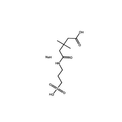 CC(C)(CC(=O)O)CC(=O)NCCCS(=O)(=O)O.[NaH]